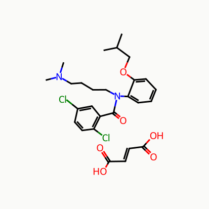 CC(C)COc1ccccc1N(CCCCN(C)C)C(=O)c1cc(Cl)ccc1Cl.O=C(O)C=CC(=O)O